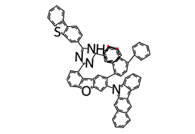 c1ccc(-c2ccc(-c3cc4c(cc3-n3c5ccccc5c5cc6ccccc6cc53)oc3cccc(C5=NC(c6ccccc6)NC(c6ccc7c(c6)sc6ccccc67)=N5)c34)c3ccccc23)cc1